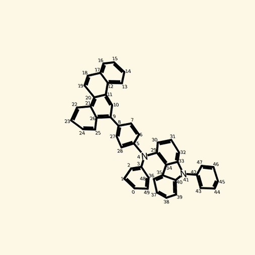 c1ccc(N(c2ccc(-c3cc4c5ccccc5ccc4c4ccccc34)cc2)c2cccc3c2c2ccccc2n3-c2ccccc2)cc1